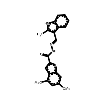 COc1cc(OC)c2cc(C(=O)NN=Cc3c(C)[nH]c4ccccc34)oc2c1